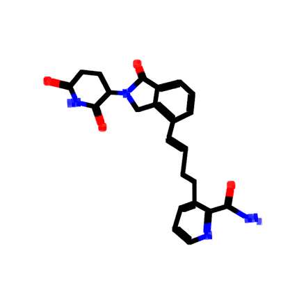 NC(=O)c1ncccc1CCC=Cc1cccc2c1CN(C1CCC(=O)NC1=O)C2=O